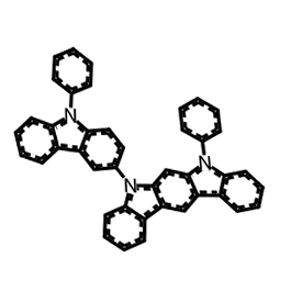 c1ccc(-n2c3ccccc3c3cc(-n4c5ccccc5c5cc6c7ccccc7n(-c7ccccc7)c6cc54)ccc32)cc1